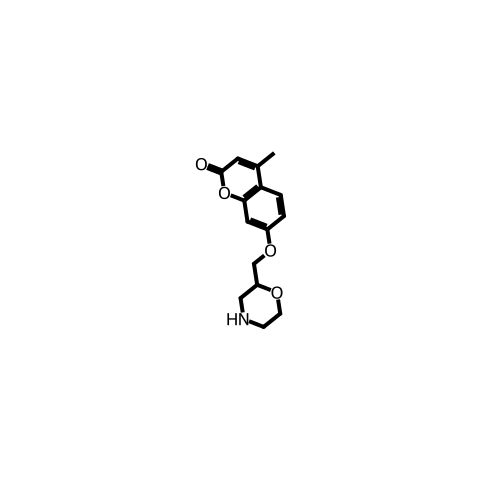 Cc1cc(=O)oc2cc(OCC3CNCCO3)ccc12